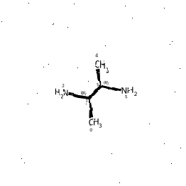 C[C@@H](N)[C@@H](C)N